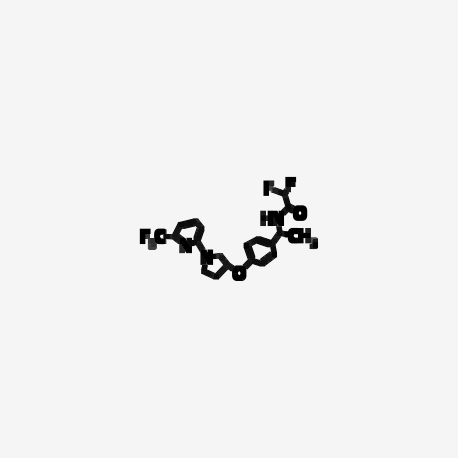 C[C@H](NC(=O)C(F)F)c1ccc(OC2CCN(c3cccc(C(F)(F)F)n3)C2)cc1